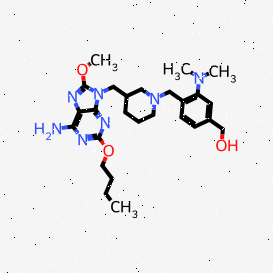 CCCCOc1nc(N)c2nc(OC)n(CC3CCCN(Cc4ccc(CO)cc4N(C)C)C3)c2n1